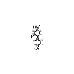 CCN1CCN(c2ccc(NC)cc2F)CC1